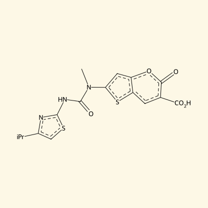 CC(C)c1csc(NC(=O)N(C)c2cc3oc(=O)c(C(=O)O)cc3s2)n1